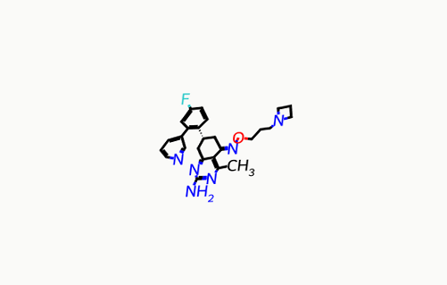 Cc1nc(N)nc2c1/C(=N/OCCCN1CCC1)C[C@@H](c1ccc(F)cc1-c1cccnc1)C2